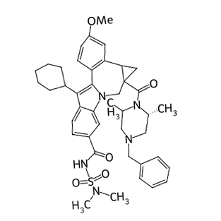 COc1ccc2c(c1)C1CC1(C(=O)N1C(C)CN(Cc3ccccc3)C[C@H]1C)Cn1c-2c(C2CCCCC2)c2ccc(C(=O)NS(=O)(=O)N(C)C)cc21